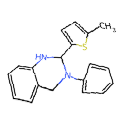 Cc1ccc(C2Nc3ccccc3CN2c2ccccc2)s1